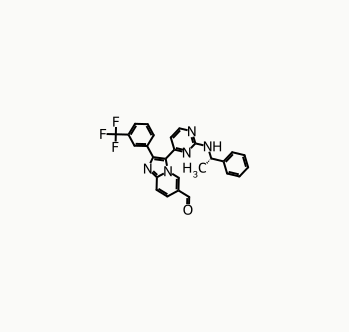 C[C@H](Nc1nccc(-c2c(-c3cccc(C(F)(F)F)c3)nc3ccc(C=O)cn23)n1)c1ccccc1